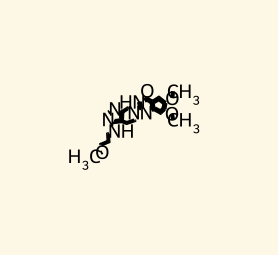 COCCCNc1ncnc2c1CCN(c1nc3cc(OC)c(OC)cc3c(=O)[nH]1)C2